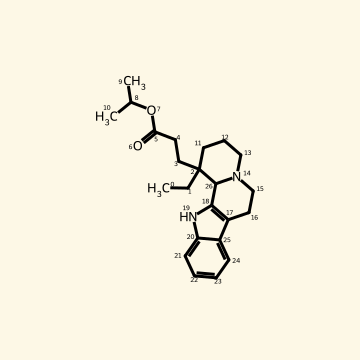 CCC1(CCC(=O)OC(C)C)CCCN2CCc3c([nH]c4ccccc34)C21